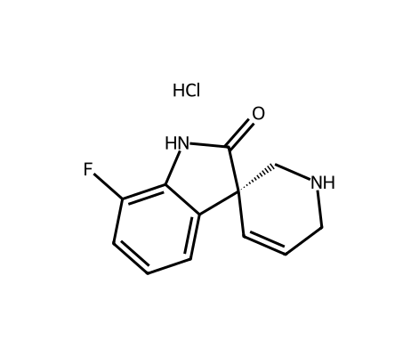 Cl.O=C1Nc2c(F)cccc2[C@]12C=CCNC2